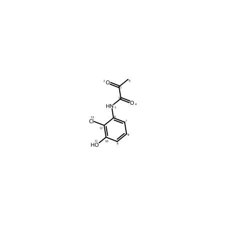 CC(=O)C(=O)Nc1cccc(O)c1Cl